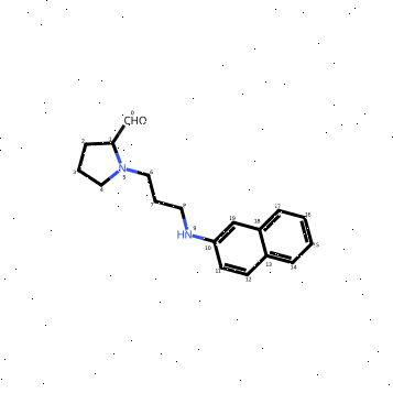 O=CC1CCCN1CCCNc1ccc2ccccc2c1